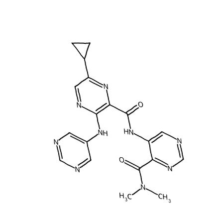 CN(C)C(=O)c1ncncc1NC(=O)c1nc(C2CC2)cnc1Nc1cncnc1